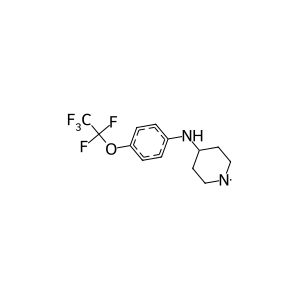 FC(F)(F)C(F)(F)Oc1ccc(NC2CC[N]CC2)cc1